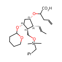 C=CCC(O[C@H]1C[C@@H](OC2CCCCO2)[C@H](CO[Si](C)(C)CC(C)C)[C@H]1C=CC)C(=O)O